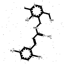 Cc1ncc(CO)c(CNC(=O)/C=C/c2cc(N)ccc2N)c1O.Cl